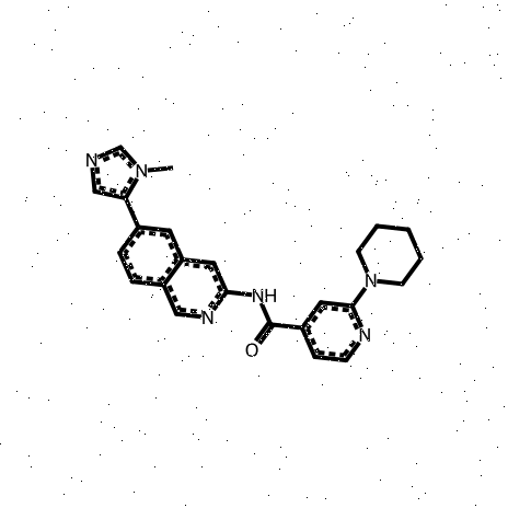 Cn1cncc1-c1ccc2cnc(NC(=O)c3ccnc(N4CCCCC4)c3)cc2c1